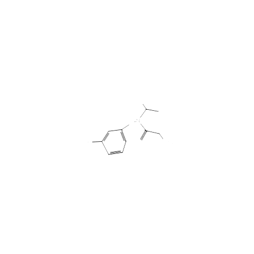 CCC(CC)N(Cc1cccc(C)c1)C(=O)CC(C)(C)C